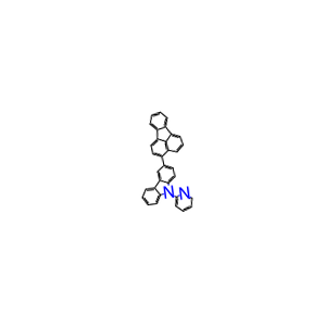 c1ccc(-n2c3ccccc3c3cc(-c4ccc5c6c(cccc46)-c4ccccc4-5)ccc32)nc1